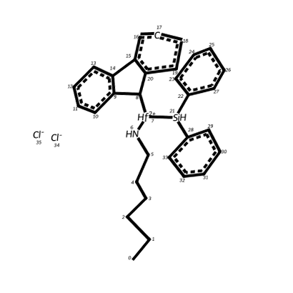 CCCCCC[NH][Hf+2]([CH]1c2ccccc2-c2ccccc21)[SiH](c1ccccc1)c1ccccc1.[Cl-].[Cl-]